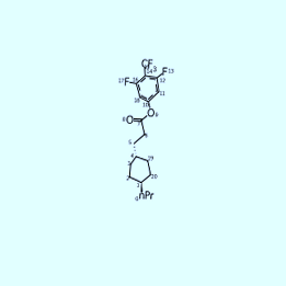 CCC[C@H]1CC[C@H](CCC(=O)Oc2cc(F)c(C(F)(F)F)c(F)c2)CC1